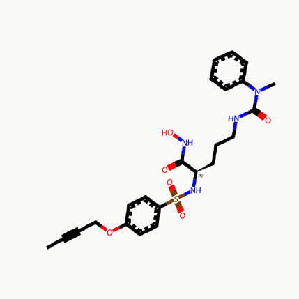 CC#CCOc1ccc(S(=O)(=O)N[C@H](CCCNC(=O)N(C)c2ccccc2)C(=O)NO)cc1